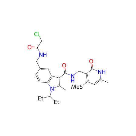 CCC(CC)n1c(C)c(C(=O)NCc2c(SC)cc(C)[nH]c2=O)c2cc(CNC(=O)CCl)ccc21